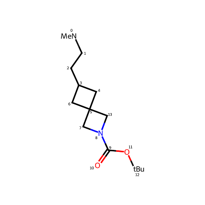 CNCCC1CC2(C1)CN(C(=O)OC(C)(C)C)C2